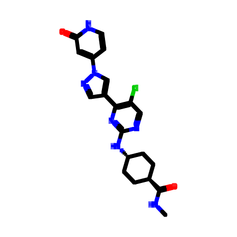 CNC(=O)[C@H]1CC[C@H](Nc2ncc(Cl)c(-c3cnn(-c4cc[nH]c(=O)c4)c3)n2)CC1